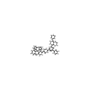 C1=Cc2c(-c3ccccc3)ccc(-c3cc(-c4ccc(-c5ccc6c(c5)C5(c7ccccc7O6)c6ccccc6-c6ccccc65)cc4)nc(-c4ccccc4)n3)c2CC1